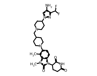 Cc1c(N2CCC(CN3CCC(n4cc(N)c(C(F)F)n4)CC3)CC2)ccc2c1n(C)c(=O)n2C1CCC(=O)NC1=O